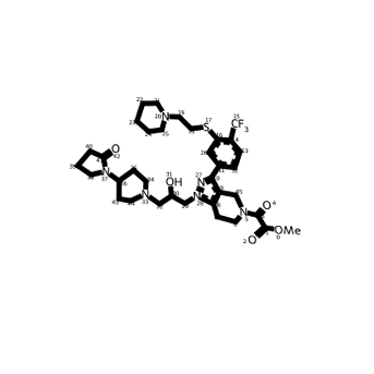 COC(=O)C(=O)N1CCc2c(c(-c3ccc(C(F)(F)F)c(SCCN4CCCCC4)c3)nn2CC(O)CN2CCC(N3CCCC3=O)CC2)C1